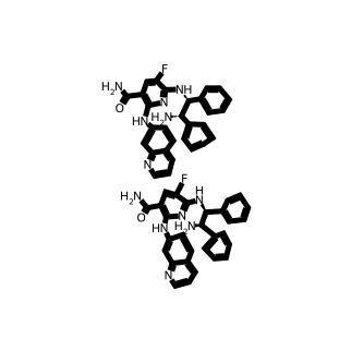 NC(=O)c1cc(F)c(N[C@@H](c2ccccc2)[C@H](N)c2ccccc2)nc1Nc1ccc2cccnc2c1.NC(=O)c1cc(F)c(N[C@H](c2ccccc2)[C@@H](N)c2ccccc2)nc1Nc1ccc2cccnc2c1